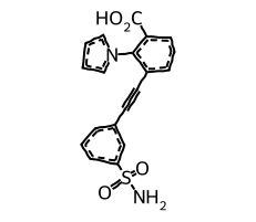 NS(=O)(=O)c1cccc(C#Cc2cccc(C(=O)O)c2-n2cccc2)c1